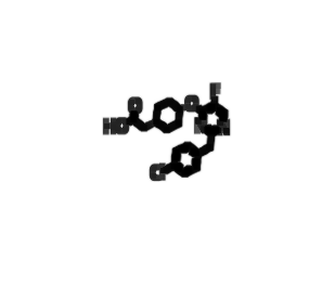 O=C(O)C[C@H]1CC[C@H](Oc2nc(Cc3ccc(Cl)cc3)ncc2F)CC1